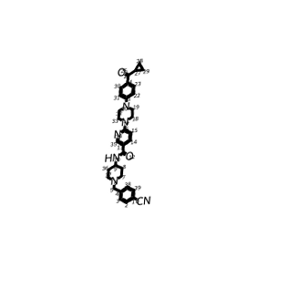 N#Cc1ccc(CN2CCC(NC(=O)c3ccc(N4CCN(c5ccc(C(=O)C6CC6)cc5)CC4)nc3)CC2)cc1